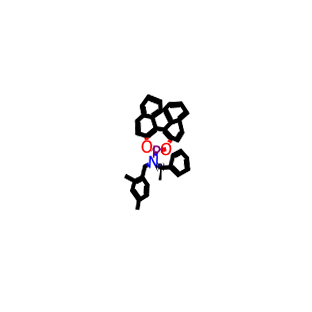 Cc1ccc(CN([C@H](C)c2ccccc2)p2oc3ccc4ccccc4c3c3c(ccc4ccccc43)o2)c(C)c1